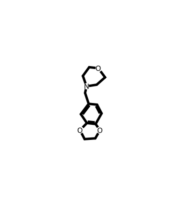 c1cc2c(cc1CN1CCOCC1)OCCO2